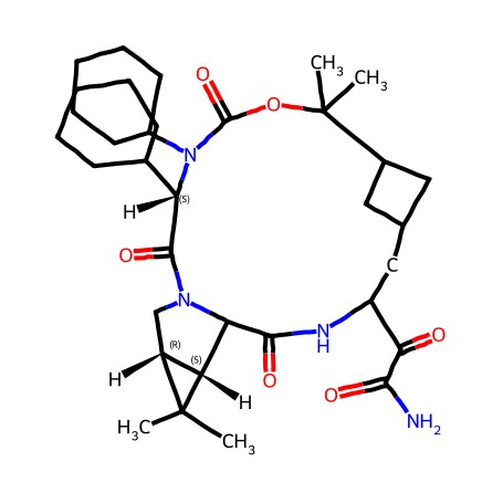 CC1(C)OC(=O)N(C2CCCCC2)[C@@H](C2CCCCC2)C(=O)N2C[C@@H]3[C@H](C2C(=O)NC(C(=O)C(N)=O)CC2CC1C2)C3(C)C